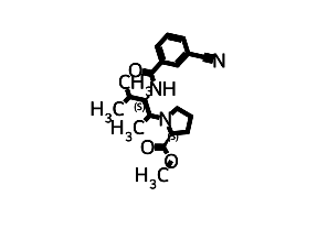 COC(=O)[C@@H]1CCCN1C(C)[C@@H](NC(=O)c1cccc(C#N)c1)C(C)C